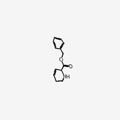 O=C(OCc1ccccc1)C1C=CCCN1